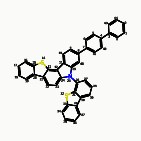 c1ccc(-c2ccc(-c3ccc4c5c6sc7ccccc7c6ccc5n(-c5cccc6c5sc5ccccc56)c4c3)cc2)cc1